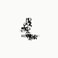 C#CC1(F)[C@@H](O)[C@@H]([C@H](C)OP(=O)(O)OP(=O)(O)OP(=O)(O)O)O[C@H]1n1c(C)cc(=O)[nH]c1=O